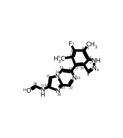 Cc1c(F)c(C)c2[nH]ncc2c1-c1cn2cc(NC=O)nc2cn1